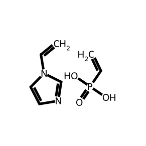 C=CP(=O)(O)O.C=Cn1ccnc1